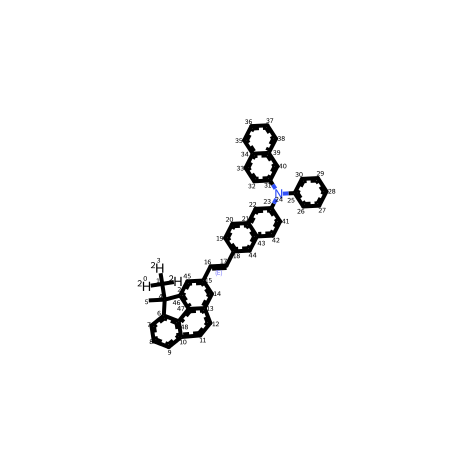 [2H]C([2H])([2H])C1(C)c2cccc3ccc4cc(/C=C/c5ccc6cc(N(c7ccccc7)c7ccc8ccccc8c7)ccc6c5)cc1c4c23